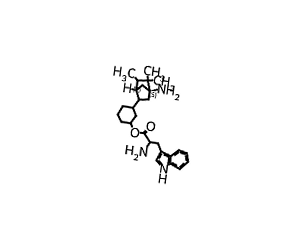 CC1[C@@H]2C[C@@](N)(CC2C2CCCC(OC(=O)C(N)Cc3c[nH]c4ccccc34)C2)C1(C)C